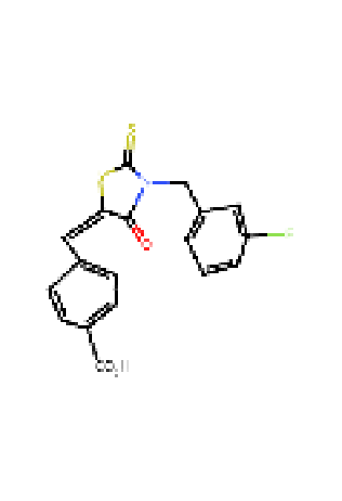 O=C(O)c1ccc(C=C2SC(=S)N(Cc3cccc(F)c3)C2=O)cc1